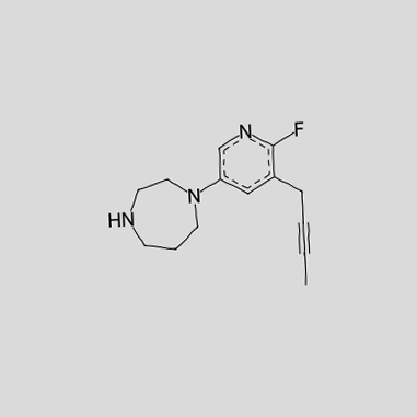 CC#CCc1cc(N2CCCNCC2)cnc1F